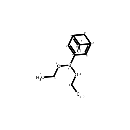 CCOB(OCC)c1cc2c(Cl)c(c1)C2